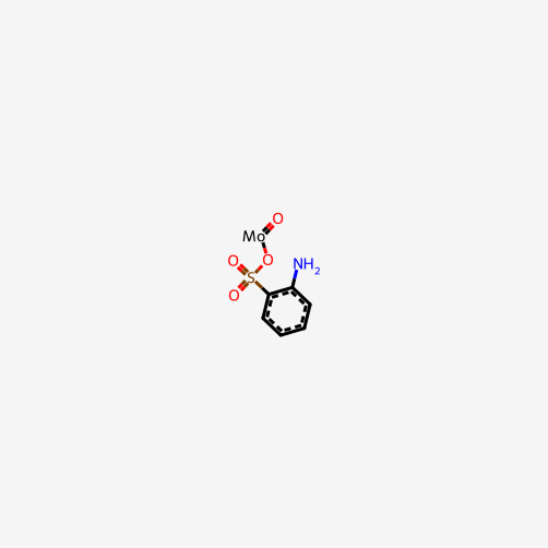 Nc1ccccc1S(=O)(=O)[O][Mo]=[O]